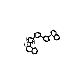 c1cc(-c2cccc(-c3cccc4ccccc34)c2)cc(-c2cnc3oc4ccc5ccccc5c4c3n2)c1